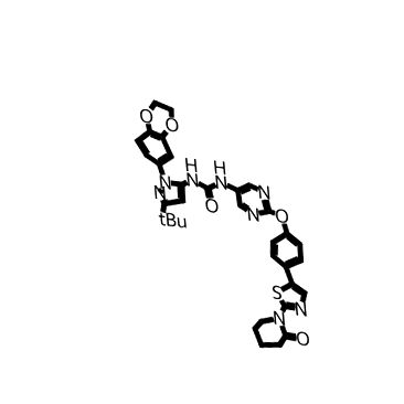 CC(C)(C)c1cc(NC(=O)Nc2cnc(Oc3ccc(-c4cnc(N5CCCCC5=O)s4)cc3)nc2)n(-c2ccc3c(c2)OCCO3)n1